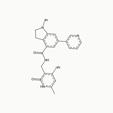 CCCc1cc(C)[nH]c(=O)c1CNC(=O)c1cc(-c2cccnc2)cc2c1CCN2C(C)C